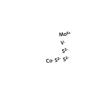 [Co].[Mo+6].[S-2].[S-2].[S-2].[V]